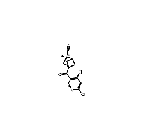 N#C[C@H]1CC2(C(=O)c3cnc(Cl)cc3Cl)CC1C2